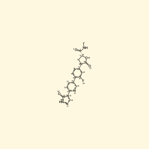 CNC(=O)[C@H]1CN(c2ccc(-c3ccc(-n4cn[nH]c4=O)nc3)c(F)c2)C(=O)O1